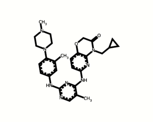 Cc1cc(Nc2ncc(C)c(Nc3ccc4c(n3)N(CC3CC3)C(=O)CO4)n2)ccc1N1CCN(C)CC1